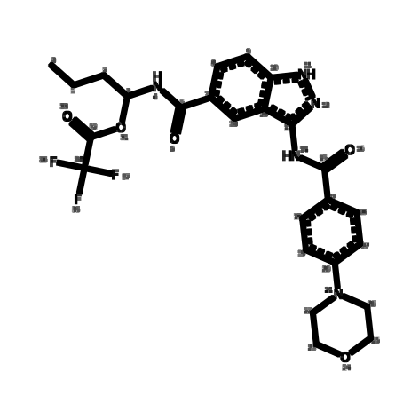 CCCC(NC(=O)c1ccc2[nH]nc(NC(=O)c3ccc(N4CCOCC4)cc3)c2c1)OC(=O)C(F)(F)F